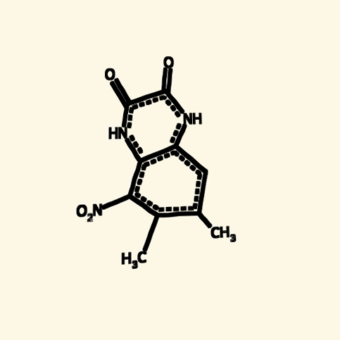 Cc1cc2[nH]c(=O)c(=O)[nH]c2c([N+](=O)[O-])c1C